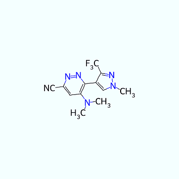 CN(C)c1cc(C#N)nnc1-c1cn(C)nc1C(F)(F)F